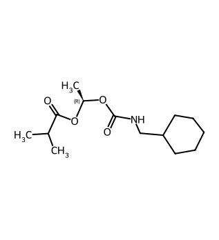 CC(C)C(=O)O[C@@H](C)OC(=O)NCC1CCCCC1